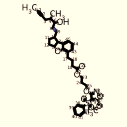 CC#CCC(C)C(O)/C=C/C1CCC2Oc3c(CCCC(=O)OCCCOc4no[n+](OC)c4S(=O)(=O)c4ccccc4)cccc3C12